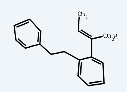 CC=C(C(=O)O)c1ccccc1CCc1ccccc1